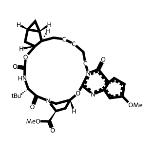 COC(=O)[C@@H]1C[C@@H]2CN1C(=O)[C@H](C(C)(C)C)NC(=O)O[C@@H]1C[C@@H]3C[C@@H]3[C@H]1CCCCCn1c(nc3cc(OC)ccc3c1=O)O2